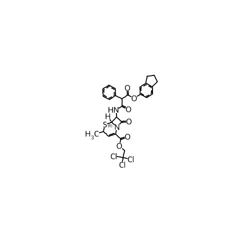 CC1C=C(C(=O)OCC(Cl)(Cl)Cl)N2C(=O)C(NC(=O)C(C(=O)Oc3ccc4c(c3)CCC4)c3ccccc3)[C@H]2S1